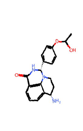 CC(O)Oc1ccc([C@H]2NC(=O)c3cccc4c3N2CC[C@@H]4N)cc1